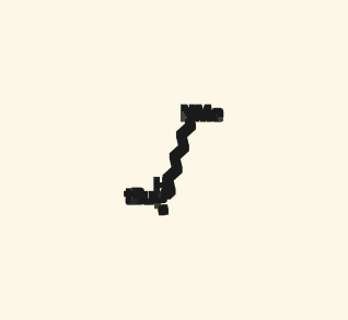 CNCCCCCC/C=[PH](/C)C(C)(C)C